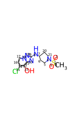 CS(=O)(=O)N1CCC(Nc2nc3c(O)c(Cl)ccn3n2)CC1